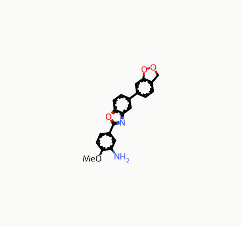 COc1ccc(-c2nc3cc(-c4ccc5c(c4)OOC5)ccc3o2)cc1N